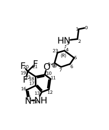 CCCN[C@@H]1CCC[C@H](Oc2ccc3[nH]ncc3c2C(F)(F)F)C1